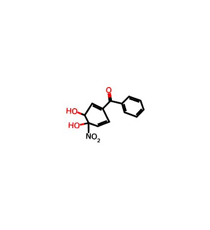 O=C(C1=CC(O)C(O)([N+](=O)[O-])C=C1)c1ccccc1